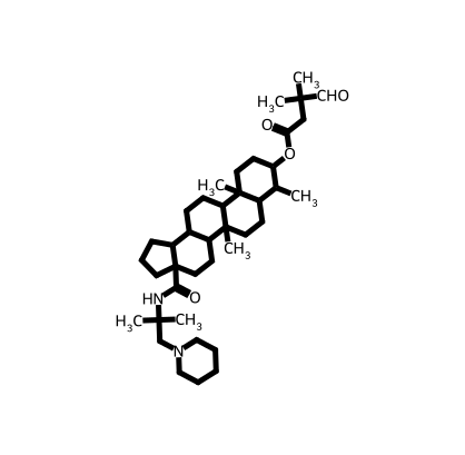 CC1C(OC(=O)CC(C)(C)C=O)CCC2(C)C1CCC1(C)C3CCC4(C(=O)NC(C)(C)CN5CCCCC5)CCCC4C3CCC21